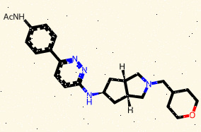 CC(=O)Nc1ccc(-c2ccc(N[C@H]3C[C@@H]4CN(CC5CCOCC5)C[C@@H]4C3)nn2)cc1